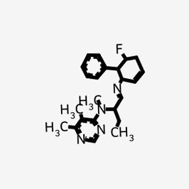 CCC(/C=N/C1C=CCC(F)C1c1ccccc1)N(C)c1ncnc(C)c1C